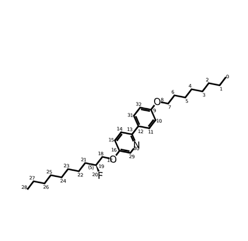 CCCCCCCCOc1ccc(-c2ccc(OC[C@@H](F)CCCCCCCC)cn2)cc1